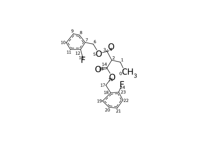 CCC(C(=O)OCc1ccccc1F)C(=O)OCc1ccccc1F